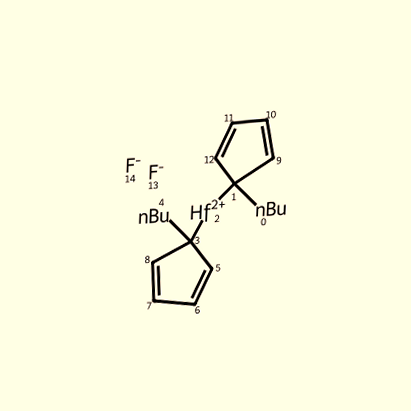 CCCC[C]1([Hf+2][C]2(CCCC)C=CC=C2)C=CC=C1.[F-].[F-]